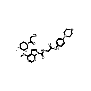 C[C@@H]1CCN(C(=O)CC#N)C[C@@H]1N(C)c1ncnc2c1ccn2C(=O)NCC(=O)Nc1ccc(N2CCNCC2)cc1